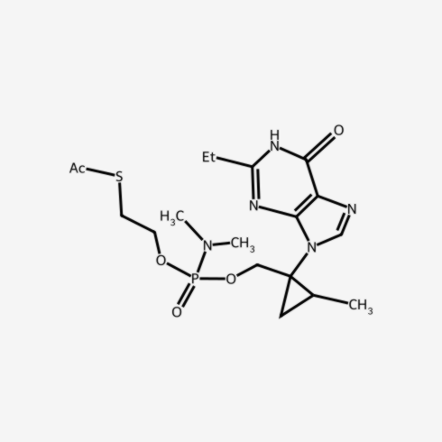 CCc1nc2c(ncn2C2(COP(=O)(OCCSC(C)=O)N(C)C)CC2C)c(=O)[nH]1